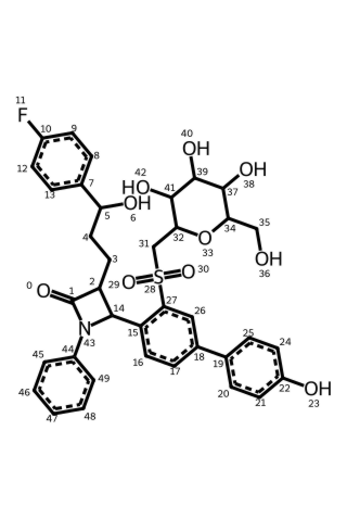 O=C1C(CCC(O)c2ccc(F)cc2)C(c2ccc(-c3ccc(O)cc3)cc2S(=O)(=O)CC2OC(CO)C(O)C(O)C2O)N1c1ccccc1